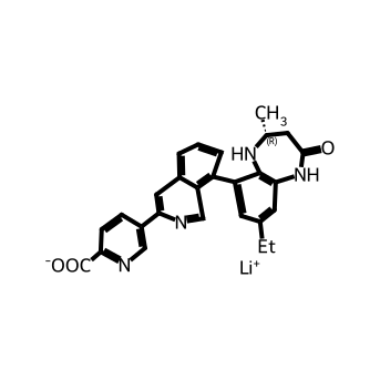 CCc1cc2c(c(-c3cccc4cc(-c5ccc(C(=O)[O-])nc5)ncc34)c1)N[C@H](C)CC(=O)N2.[Li+]